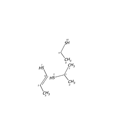 CC(C)S.CC=CS.CCS